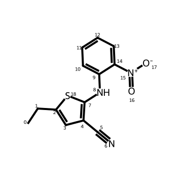 CCc1cc(C#N)c(Nc2ccccc2[N+](=O)[O-])s1